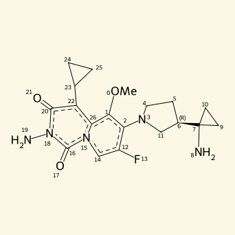 COc1c(N2CC[C@@H](C3(N)CC3)C2)c(F)cn2c(=O)n(N)c(=O)c(C3CC3)c12